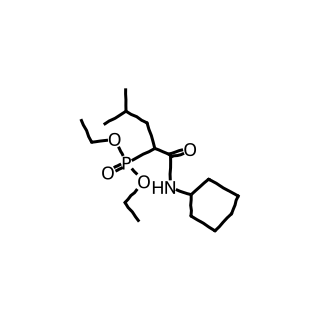 CCOP(=O)(OCC)C(CC(C)C)C(=O)NC1CCCCC1